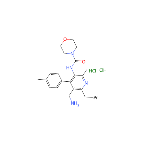 Cc1ccc(-c2c(CN)c(CC(C)C)nc(C)c2NC(=O)N2CCOCC2)cc1.Cl.Cl